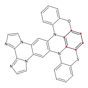 c1ccc2c(c1)Oc1ccccc1N2c1cc2c(cc1N1c3ccccc3Sc3ccccc31)n1ccnc1c1nccn21